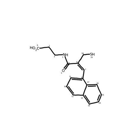 O=C(O)CCNC(=O)/C(=C\c1cccc2ccccc12)CS